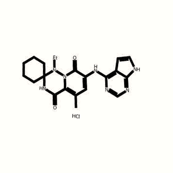 CCN1n2c(c(C)cc(Nc3ncnc4[nH]ccc34)c2=O)C(=O)NC12CCCCC2.Cl